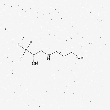 OCCCNC[C@H](O)C(F)(F)F